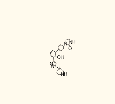 O=C1NCCN1c1ccc(-c2cccc(-c3cc(N4CCNCC4)no3)c2O)cc1